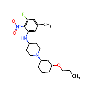 CCCO[C@H]1CCC[C@@H](N2CCC(Nc3cc(C)cc(F)c3[N+](=O)[O-])CC2)C1